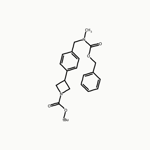 CN(Cc1ccc(C2CN(C(=O)OC(C)(C)C)C2)cc1)C(=O)OCc1ccccc1